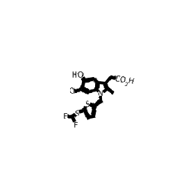 Cc1c(CC(=O)O)c2cc(O)c(Cl)cc2n1Cc1ccc(SC(F)F)s1